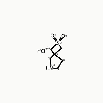 Cl.O=S1(=O)CC2(CCNC2)C1